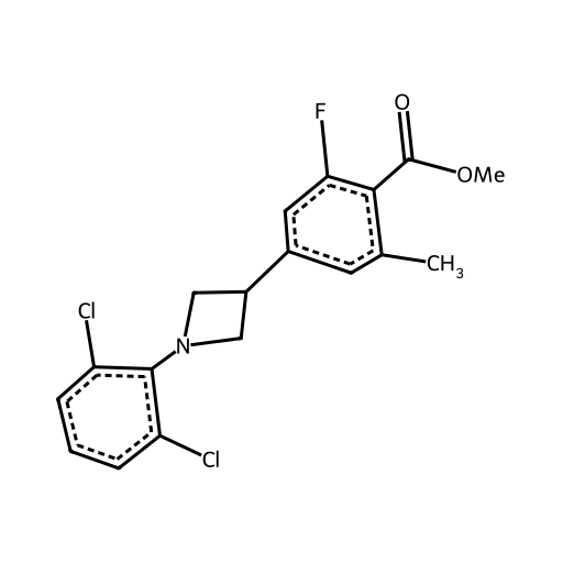 COC(=O)c1c(C)cc(C2CN(c3c(Cl)cccc3Cl)C2)cc1F